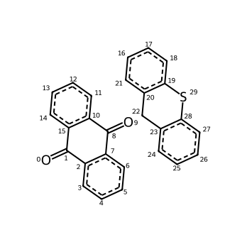 O=C1c2ccccc2C(=O)c2ccccc21.c1ccc2c(c1)Cc1ccccc1S2